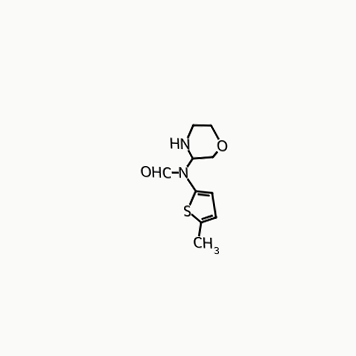 Cc1ccc(N(C=O)C2COCCN2)s1